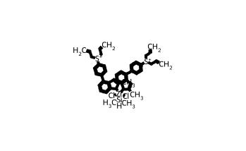 C=CC[S+](CC=C)c1ccc(-c2cccc3c2C=C(C)[CH]3[Zr]([Cl])([Cl])([CH]2C(C)=Cc3c(-c4ccc([S+](CC=C)CC=C)cc4)cccc32)[SiH](C)C)cc1